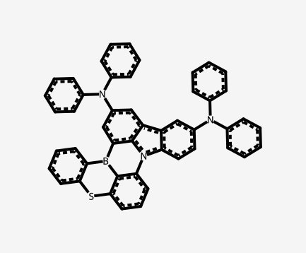 c1ccc(N(c2ccccc2)c2ccc3c(c2)c2cc(N(c4ccccc4)c4ccccc4)cc4c2n3-c2cccc3c2B4c2ccccc2S3)cc1